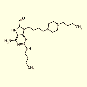 CCCCNc1nc(N)c2c(n1)N(CCCCN1CCN(CCCC)CC1)C(C=O)N2